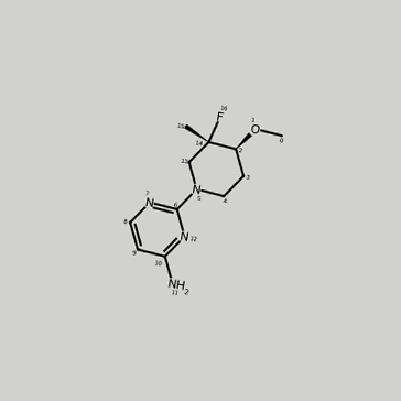 CO[C@H]1CCN(c2nccc(N)n2)C[C@]1(C)F